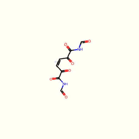 O=CNC(=O)C(=O)/C=C\C(=O)C(=O)NC=O